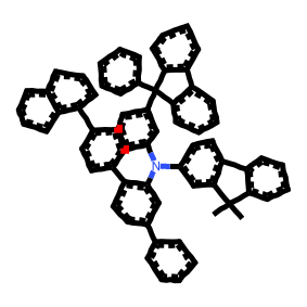 CC1(C)c2ccccc2-c2ccc(N(c3cccc(C4(c5ccccc5)c5ccccc5-c5ccccc54)c3)c3cc(-c4ccccc4)ccc3-c3ccc(-c4cccc5ccccc45)cc3)cc21